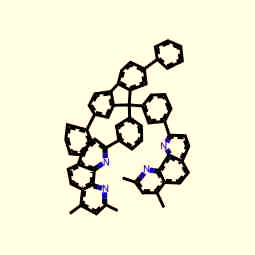 Cc1cc(C)c2ccc3ccc(-c4cccc(C5(c6cccc(-c7ccc8ccc9c(C)cc(C)nc9c8n7)c6)c6cc(-c7ccccc7)ccc6-c6ccc(-c7ccccc7)cc65)c4)nc3c2n1